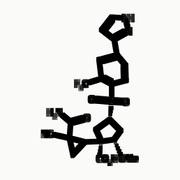 CO[C@H]1C[C@@H](S(=O)(=O)c2ccc(-c3cc[nH]n3)cc2C(F)(F)F)C[C@]1(C(=O)O)C1CC1(C#N)C(N)=O